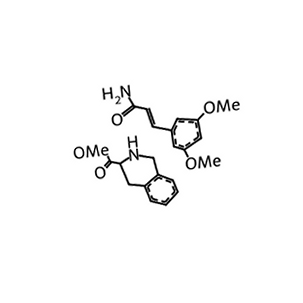 COC(=O)C1Cc2ccccc2CN1.COc1cc(C=CC(N)=O)cc(OC)c1